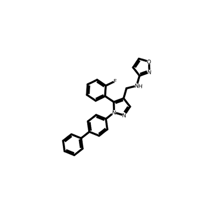 Fc1ccccc1-c1c(CNc2ccon2)cnn1-c1ccc(-c2ccccc2)cc1